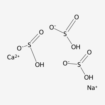 O=S([O-])O.O=S([O-])O.O=S([O-])O.[Ca+2].[Na+]